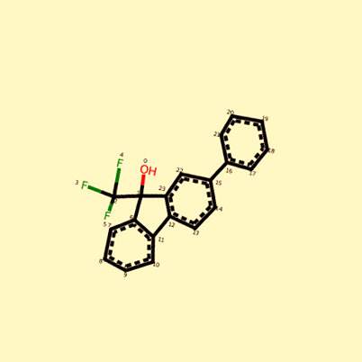 OC1(C(F)(F)F)c2ccccc2-c2ccc(-c3ccccc3)cc21